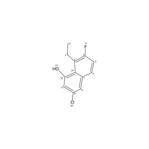 CCc1c(F)ccc2cc(Cl)cc(O)c12